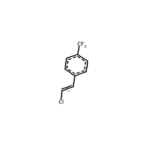 FC(F)(F)c1ccc(/C=C/Cl)cc1